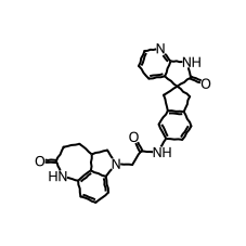 O=C(CN1CC2CCC(=O)Nc3cccc1c32)Nc1ccc2c(c1)CC1(C2)C(=O)Nc2ncccc21